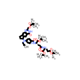 C#CCN(c1ccc(C(=O)N[C@@H](CCC(=O)N[C@H](CCC(=O)OC(C)(C)C)C(=O)OC(C)(C)C)C(=O)OC(C)(C)C)cc1)C1CCc2cc3nc(COC(=O)C(C)(C)C)[nH]c(=O)c3cc21